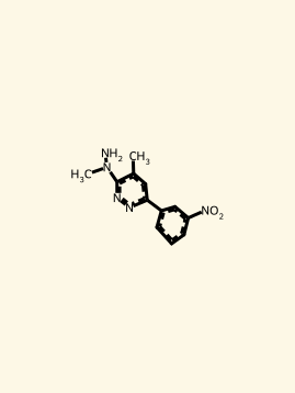 Cc1cc(-c2cccc([N+](=O)[O-])c2)nnc1N(C)N